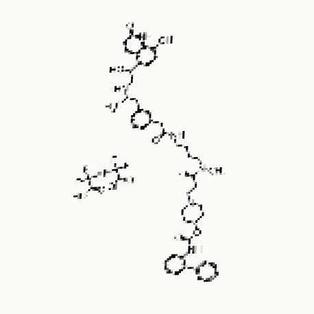 CC(Cc1cccc(CC(=O)NCCCCN(C)C(=O)CCN2CCC(OC(=O)Nc3ccccc3-c3ccccc3)CC2)c1)NCC(O)c1ccc(O)c2[nH]c(=O)ccc12.O=C(O)C(F)(F)F.O=C(O)C(F)(F)F